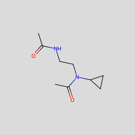 CC(=O)NCCN(C(C)=O)C1CC1